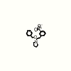 O=[N+]([O-])c1cccc(C=C(OCc2ccccc2)N2CCCC2)c1